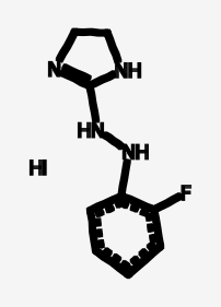 Fc1ccccc1NNC1=NCCN1.I